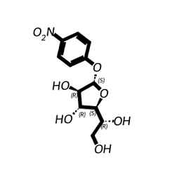 O=[N+]([O-])c1ccc(O[C@@H]2O[C@@H]([C@H](O)CO)[C@H](O)[C@H]2O)cc1